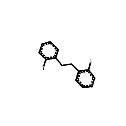 Ic1ccccc1CCc1ccccc1I